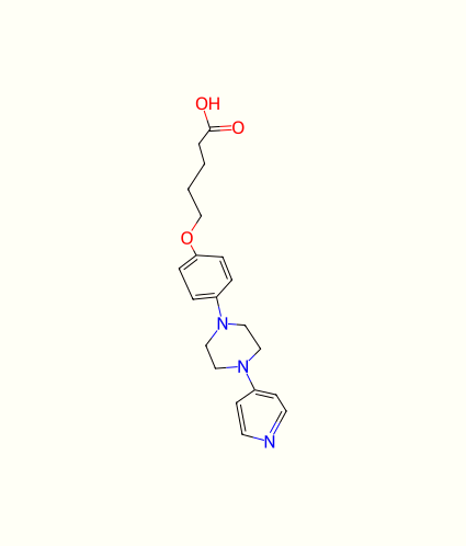 O=C(O)CCCCOc1ccc(N2CCN(c3ccncc3)CC2)cc1